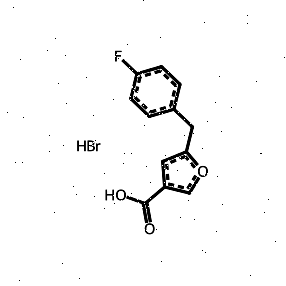 Br.O=C(O)c1coc(Cc2ccc(F)cc2)c1